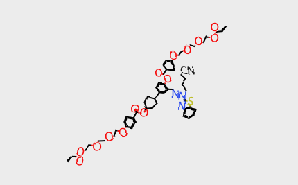 C=CC(=O)OCCOCCOCCOc1ccc(C(=O)Oc2ccc(C3CCC(OC(=O)c4ccc(OCCOCCOCCOC(=O)C=C)cc4)CC3)cc2/C=N/N(CCCCC#N)c2nc3ccccc3s2)cc1